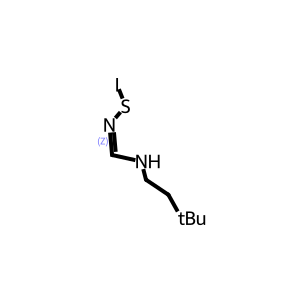 CC(C)(C)CCN/C=N\SI